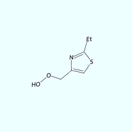 CCc1nc(COO)cs1